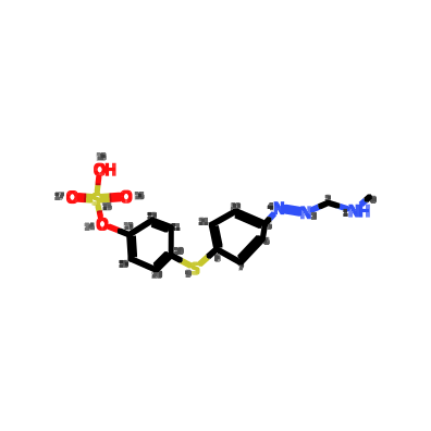 CNCN=Nc1ccc(Sc2ccc(OS(=O)(=O)O)cc2)cc1